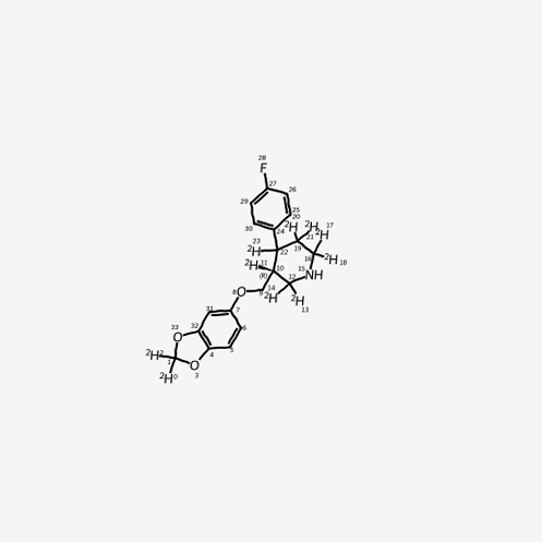 [2H]C1([2H])Oc2ccc(OC[C@@]3([2H])C([2H])([2H])NC([2H])([2H])C([2H])([2H])C3([2H])c3ccc(F)cc3)cc2O1